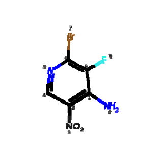 Nc1c([N+](=O)[O-])cnc(Br)c1F